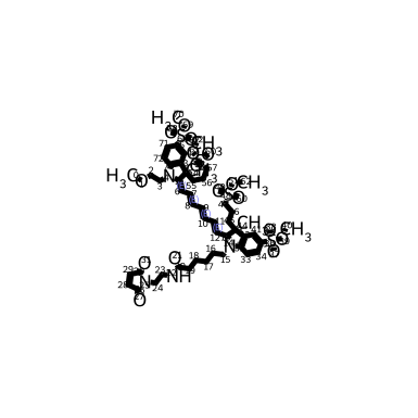 COCCN1/C(=C/C=C/C=C/C=C/C2=[N+](CCCCCC(=O)NCCN3C(=O)C=CC3=O)c3ccc(S(=O)(=O)OC)cc3C2(C)CCCS(=O)(=O)OC)C(C)(CCCS(=O)(=O)OC)c2cc(S(=O)(=O)OC)ccc21